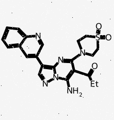 CCC(=O)c1c(N2CCS(=O)(=O)CC2)nc2c(-c3cnc4ccccc4c3)cnn2c1N